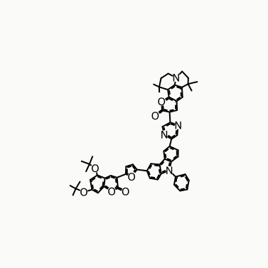 CC(C)(C)Oc1cc(OC(C)(C)C)c2cc(-c3ccc(-c4ccc5c(c4)c4cc(-c6cnc(-c7cc8cc9c%10c(c8oc7=O)C(C)(C)CCN%10CCC9(C)C)cn6)ccc4n5-c4ccccc4)o3)c(=O)oc2c1